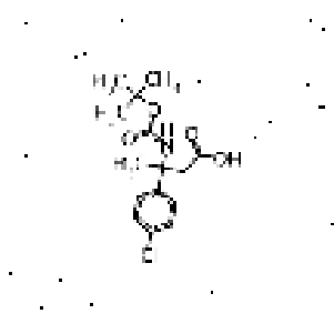 CC(C)(C)OC(=O)NC(C)(CC(=O)O)c1ccc(Cl)cc1